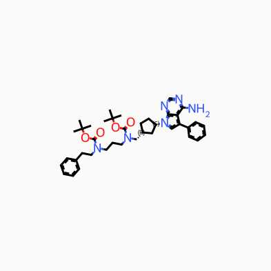 CC(C)(C)OC(=O)N(CCCN(C[C@@H]1CC[C@H](n2cc(-c3ccccc3)c3c(N)ncnc32)C1)C(=O)OC(C)(C)C)CCc1ccccc1